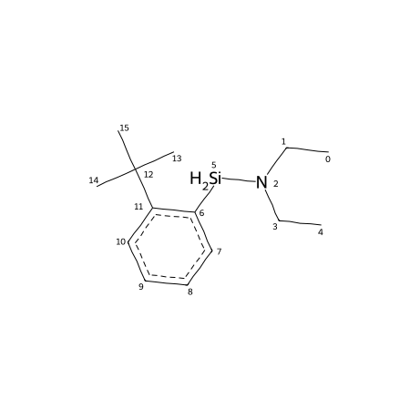 CCN(CC)[SiH2]c1ccccc1C(C)(C)C